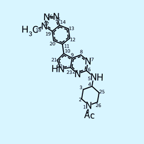 CC(=O)N1CCC(Nc2ncc3c(-c4ccc5nnn(C)c5c4)c[nH]c3n2)CC1